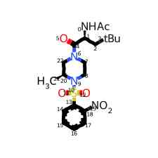 CC(=O)N[C@@H](CC(C)(C)C)C(=O)N1CCN(S(=O)(=O)c2ccccc2[N+](=O)[O-])[C@@H](C)C1